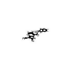 N#Cc1c(Br)nn2c(C(=O)NC3Cc4ccccc4C3)ccnc12